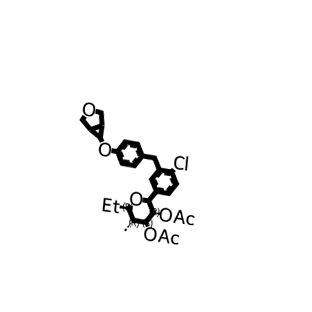 CC[C@H]1OC(c2ccc(Cl)c(Cc3ccc(OC4C5COCC54)cc3)c2)[C@H](OC(C)=O)[C@@H](OC(C)=O)[C@@H]1C